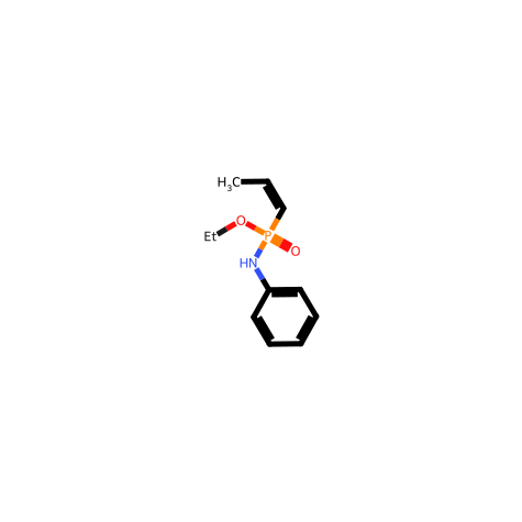 C/C=C\P(=O)(Nc1ccccc1)OCC